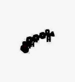 O=C(NC1CC1)c1ccc(-c2ccc(N3CCC[C@H](NC(=O)C45CC6CC(C4)C(O)C(C6)C5)C3)nc2)cc1